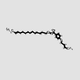 [CH2]CCCCCCCCCCCCCOOC(=O)c1ccc(OCCCC)cc1